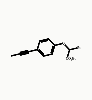 CC#Cc1ccc(OC(CC)C(=O)OCC)cc1